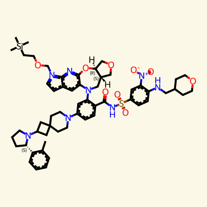 Cc1ccccc1[C@@H]1CCCN1C1CC2(CCN(c3ccc(C(=O)NS(=O)(=O)c4ccc(NCC5CCOCC5)c([N+](=O)[O-])c4)c(N4C[C@H]5COC[C@@H]5Oc5nc6c(ccn6COCC[Si](C)(C)C)cc54)c3)CC2)C1